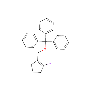 IC1=C(COC(c2ccccc2)(c2ccccc2)c2ccccc2)CCC1